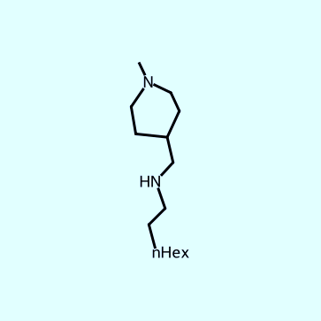 CCCCCCCCNCC1CCN(C)CC1